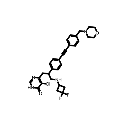 O=c1[nH]cnc(CC(CNC2CC(F)(F)C2)c2ccc(C#Cc3ccc(CN4CCOCC4)cc3)cc2)c1O